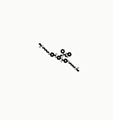 C=CC(=O)OCCCCCCOc1ccc(C(=O)Oc2ccc(OC(=O)c3ccc(OCCCCCCOC(=O)C=C)cc3)c(/C=N/N(c3cnc4ccccc4n3)C3CCCCC3)c2)cc1